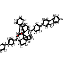 c1ccc(-c2ccc(N3c4ccccc4C4(c5ccccc5N(c5ccc(-c6ccc7c(c6)oc6ccccc67)cc5)c5ccccc54)c4cc(-c5ccccc5)ccc43)cc2)cc1